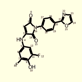 O=C1C=C(Nc2cc(F)c(O)c(F)c2)C(=O)N1c1ccc(-c2ncco2)cc1